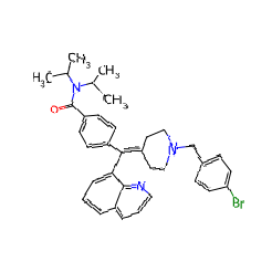 CC(C)N(C(=O)c1ccc(C(=C2CCN(Cc3ccc(Br)cc3)CC2)c2cccc3cccnc23)cc1)C(C)C